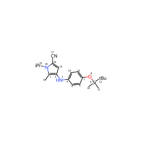 Cc1c(Nc2ccc(O[Si](C)(C)C(C)(C)C)cc2)cc(C#N)n1C(C)C